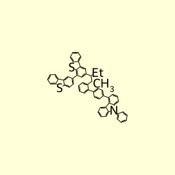 CCC(Cc1ccccc1-c1ccc(-c2cccc3c2c2ccccc2n3-c2ccccc2)cc1C)c1cc(-c2ccc3sc4ccccc4c3c2)c2sc3ccccc3c2c1